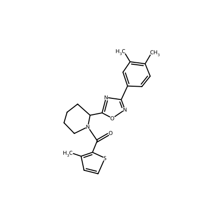 Cc1ccc(-c2noc(C3CCCCN3C(=O)c3sccc3C)n2)cc1C